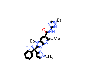 CCn1cnc(NC(=O)c2cc3c(nc2OC)nc(C(N)(c2ccccc2)c2ccn(C)n2)n3CC)n1